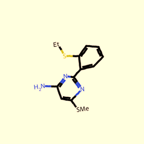 CCSc1ccccc1-c1nc(N)cc(SC)n1